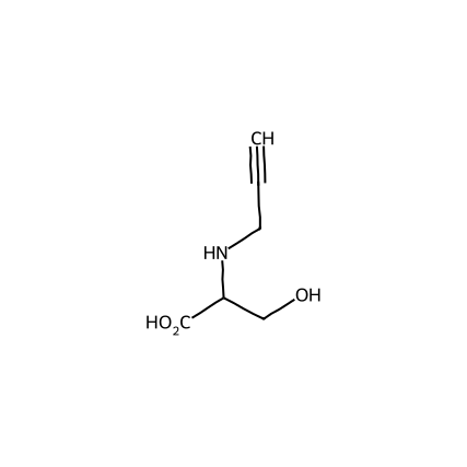 C#CCNC(CO)C(=O)O